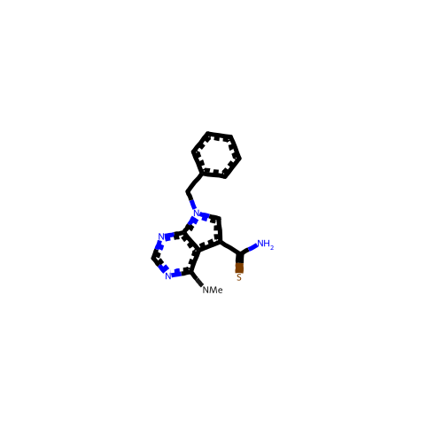 CNc1ncnc2c1c(C(N)=S)cn2Cc1ccccc1